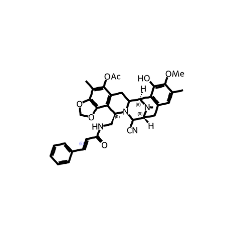 COc1c(C)cc2c(c1O)[C@@H]1C3Cc4c(OC(C)=O)c(C)c5c(c4[C@H](CNC(=O)/C=C/c4ccccc4)N3C(C#N)[C@@H](C2)N1C)OCO5